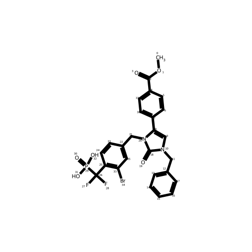 COC(=O)c1ccc(-c2cn(Cc3ccccc3)c(=O)n2Cc2ccc(C(F)(F)P(=O)(O)O)c(Br)c2)cc1